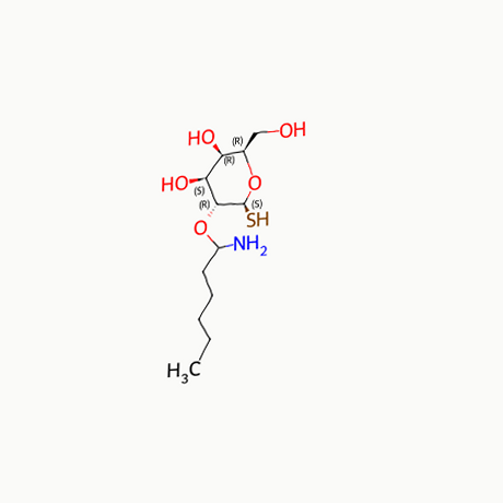 CCCCCC(N)O[C@@H]1[C@@H](O)[C@@H](O)[C@@H](CO)O[C@H]1S